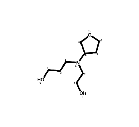 OCCCN(CCO)C1CCOC1